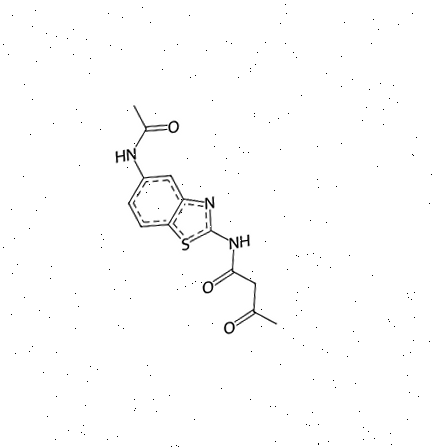 CC(=O)CC(=O)Nc1nc2cc(NC(C)=O)ccc2s1